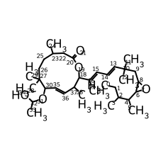 CCC(C)C(C)C1OC1CC(C)(C)/C=C/C=C(\C)C1OC(=O)CC(C)CCC(C)(C)C(OC(C)O)/C=C/C1C